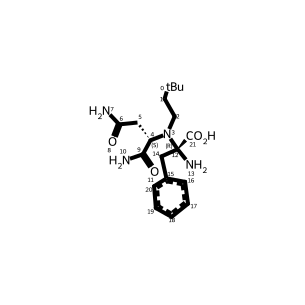 CC(C)(C)CCN([C@@H](CC(N)=O)C(N)=O)[C@](N)(Cc1ccccc1)C(=O)O